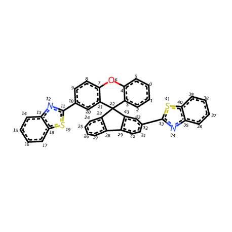 c1ccc2c(c1)Oc1ccc(-c3nc4ccccc4s3)cc1C21c2ccccc2-c2ccc(-c3nc4ccccc4s3)cc21